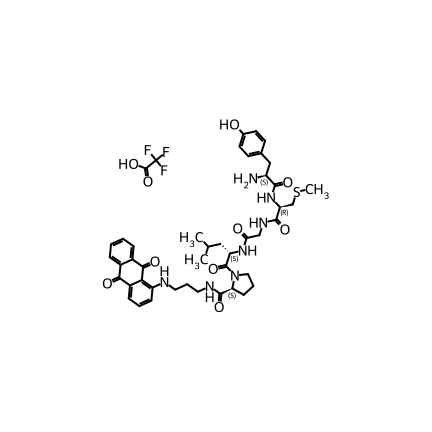 CSC[C@H](NC(=O)[C@@H](N)Cc1ccc(O)cc1)C(=O)NCC(=O)N[C@@H](CC(C)C)C(=O)N1CCC[C@H]1C(=O)NCCCNc1cccc2c1C(=O)c1ccccc1C2=O.O=C(O)C(F)(F)F